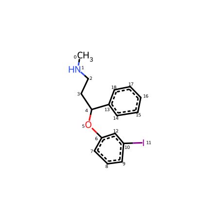 CNCCC(Oc1cccc(I)c1)c1ccccc1